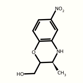 C[C@@H]1Nc2cc([N+](=O)[O-])ccc2OC1CO